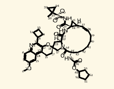 COc1ccc2nc(C3CCC3)c3c(c2c1)CC[C@]1(C[C@H]2C(=O)N[C@]4(C(=O)NS(=O)(=O)C5(C)CC5)C[C@H]4/C=C\CCCCC[C@H](NC(=O)OC4CCCC4)C(=O)N2C1)O3